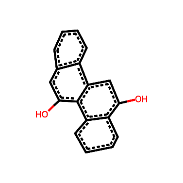 Oc1cc2c3ccccc3cc(O)c2c2ccccc12